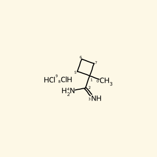 CC1(C(=N)N)CCC1.Cl.Cl